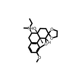 CCN(C)[C@@H]1Cc2ccc(OC)c3c2[C@@]2(C)[C@@H](O3)C3(CC[C@@]12O)OCCO3